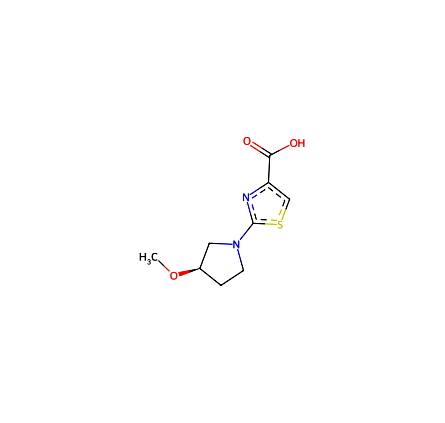 CO[C@@H]1CCN(c2nc(C(=O)O)cs2)C1